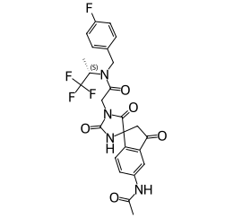 CC(=O)Nc1ccc2c(c1)C(=O)CC21NC(=O)N(CC(=O)N(Cc2ccc(F)cc2)[C@@H](C)C(F)(F)F)C1=O